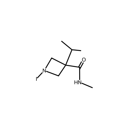 CNC(=O)C1(C(C)C)CN(I)C1